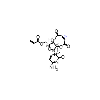 C=CC(=O)OC[C@H]1O[C@@H]([N+]2(C)C=CC(N)=NC2=O)[C@@H]2OC(=O)/C=C\C(=O)O[C@@H]21